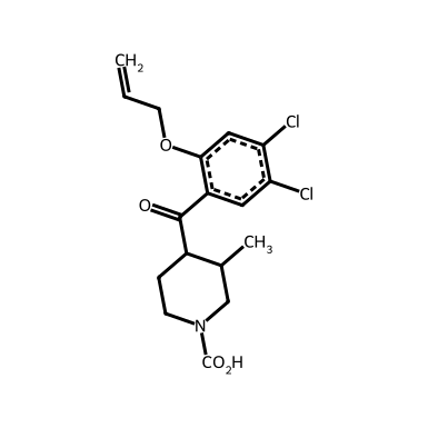 C=CCOc1cc(Cl)c(Cl)cc1C(=O)C1CCN(C(=O)O)CC1C